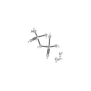 O=P([O-])([O-])OP(=O)([O-])O.[Cu+2].[Li+]